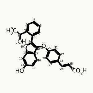 C[C@H](O)c1ccccc1-c1sc2cc(O)ccc2c1Oc1ccc(/C=C/C(=O)O)cc1